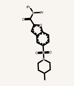 CC1CCN(S(=O)(=O)c2ccc3oc(C(=O)N(C(C)C)C(C)C)cc3c2)CC1